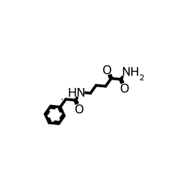 NC(=O)C(=O)CCCNC(=O)[CH]c1ccccc1